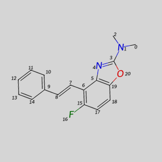 CN(C)c1nc2c(C=Cc3ccccc3)c(F)ccc2o1